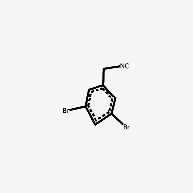 [C-]#[N+]Cc1cc(Br)cc(Br)c1